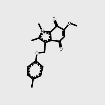 COC1=CC(=O)c2c(COc3ccc(C)cc3)c(C)n(C)c2C1=O